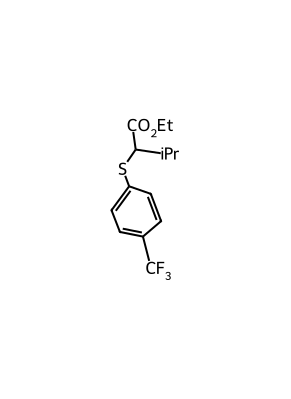 CCOC(=O)C(Sc1ccc(C(F)(F)F)cc1)C(C)C